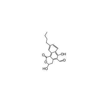 CCCCc1ccc2c(O)c(C=O)c3c(c2c1)C(=O)OC(O)C3